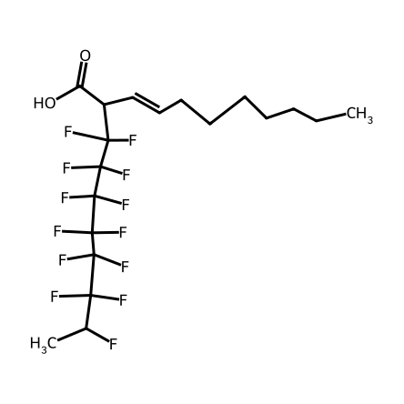 CCCCCCCC=CC(C(=O)O)C(F)(F)C(F)(F)C(F)(F)C(F)(F)C(F)(F)C(F)(F)C(C)F